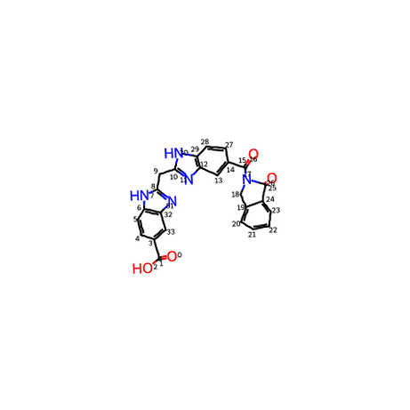 O=C(O)c1ccc2[nH]c(Cc3nc4cc(C(=O)N5Cc6ccccc6C5=O)ccc4[nH]3)nc2c1